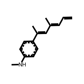 C=C/C=C(C)/C=C(\C)c1ccc(NC)cc1